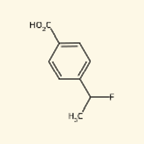 CC(F)c1ccc(C(=O)O)cc1